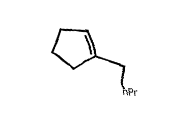 C[CH]CCC1=CCCC1